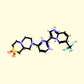 O=S1(=O)CCN2CCN(c3ccnc(-c4cnc5ccc(C(F)(F)F)cn45)n3)CC2C1